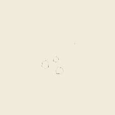 CN(C)CCCOCc1cc2c(s1)-c1cc(F)cc(Cl)c1Sc1ccccc1-2